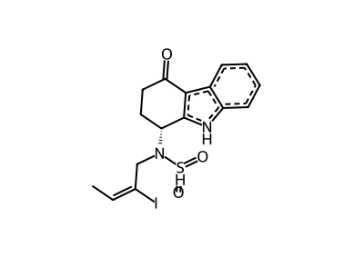 C/C=C(/I)CN([C@@H]1CCC(=O)c2c1[nH]c1ccccc21)[SH](=O)=O